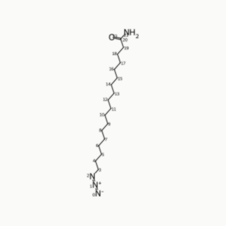 [N-]=[N+]=NCCCCCCCCCCCCCCCCCC(N)=O